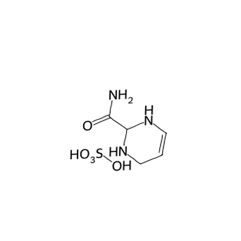 NC(=O)C1NC=CCN1.O=S(=O)(O)O